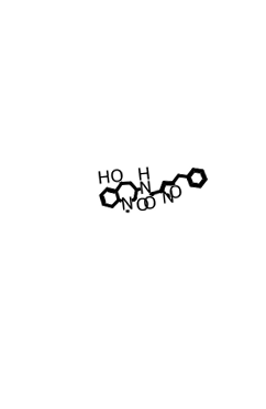 CN1C(=O)C(NC(=O)c2cc(Cc3ccccc3)on2)CC(O)C2=CC=CCC21